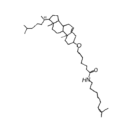 CC(C)CCCCCCNC(=O)CCCCCOC1CCC2(C)C(=CCC3C2CCC2(C)C3CCC2[C@H](C)CCCC(C)C)C1